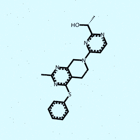 Cc1nc2c(c(Sc3ccccc3)n1)CCN(c1ccnc([C@@H](C)O)n1)C2